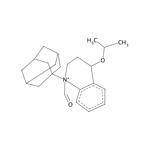 CC(C)OC1CC[N+](C=O)(C23CC4CC(CC(C4)C2)C3)c2ccccc21